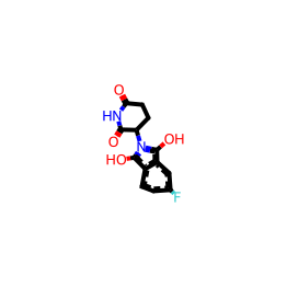 O=C1CCC(n2c(O)c3ccc(F)cc3c2O)C(=O)N1